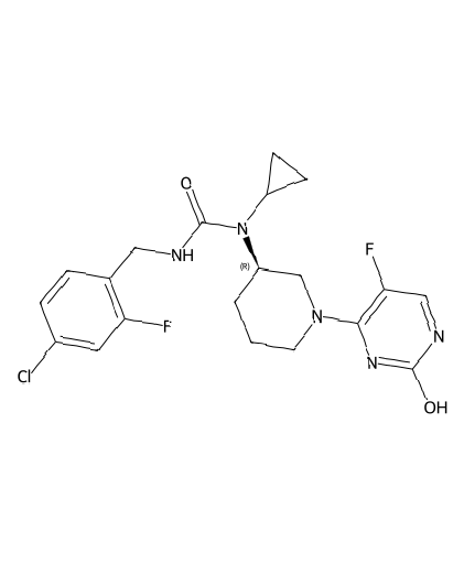 O=C(NCc1ccc(Cl)cc1F)N(C1CC1)[C@@H]1CCCN(c2nc(O)ncc2F)C1